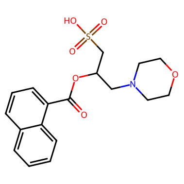 O=C(OC(CN1CCOCC1)CS(=O)(=O)O)c1cccc2ccccc12